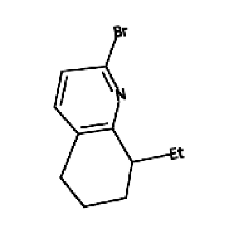 CCC1CCCc2ccc(Br)nc21